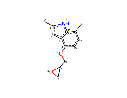 Cc1cc2c(OCC3CO3)ccc(C)c2[nH]1